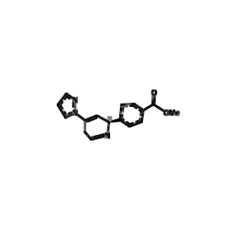 COC(=O)c1ccc([C@@H]2C=C(n3cccn3)CC=N2)cc1